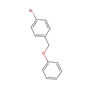 Brc1ccc(COc2c[c]ccc2)cc1